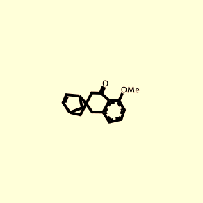 COc1cccc2c1C(=O)CC1(C2)CC2C=CC1C2